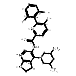 NC1CC(C(F)(F)F)CN(c2c(NC(=O)c3ccc(F)c(-c4c(F)cccc4F)n3)cnc3c2CCO3)C1